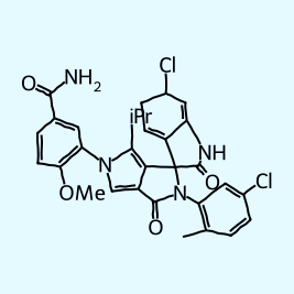 COc1ccc(C(N)=O)cc1-n1cc2c(c1C(C)C)C1(C(=O)NC3=CC(Cl)CC=C31)N(c1cc(Cl)ccc1C)C2=O